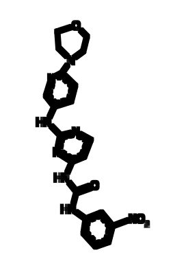 O=C(Nc1cccc([N+](=O)[O-])c1)Nc1ccnc(Nc2ccc(N3CCOCC3)nc2)n1